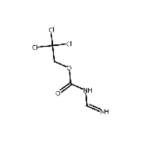 N=[C]NC(=O)OCC(Cl)(Cl)Cl